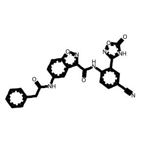 N#Cc1ccc(NC(=O)c2noc3ccc(NC(=O)Cc4ccccc4)cc23)c(-c2noc(=O)[nH]2)c1